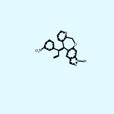 C=C/C(=C1\c2cc3cnn(C(C)C)c3cc2OCc2ncccc21)c1cccc([N+](=O)[O-])c1